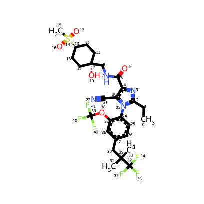 CCc1nc(C(=O)NC[C@]2(O)CC[C@@H](S(C)(=O)=O)CC2)c(C#N)n1-c1ccc(CC(C)(C)C(F)(F)F)cc1OC(F)(F)F